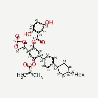 C=C(C)C(=O)Oc1cc(C2COC(=O)O2)c(OC(=O)c2cc(O)ccc2O)cc1-c1ccc(C2CCC(CCCCCC)CC2)cc1